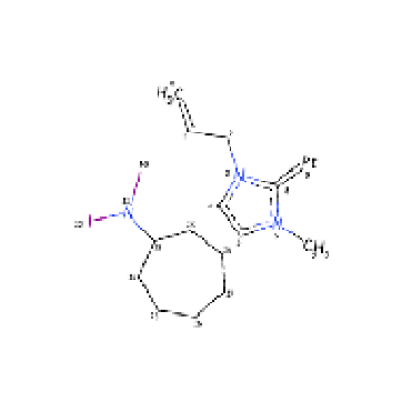 C=CCn1ccn(C)[c]1=[Pt].IN(I)C1CCCCCC1